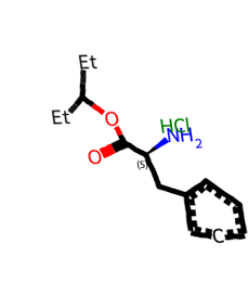 CCC(CC)OC(=O)[C@@H](N)Cc1ccccc1.Cl